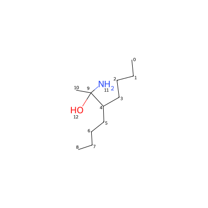 CCCCC(CCCC)C(C)(N)O